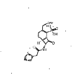 CC(=O)OCC1=C(P(=O)(O)O)N2C(=O)[C@@H](NC(=O)Cc3cccs3)[C@H]2SC1